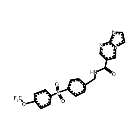 O=C(NCc1ccc(S(=O)(=O)c2ccc(OC(F)(F)F)cc2)cc1)c1cnc2nccn2c1